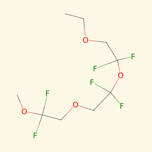 CCOCC(F)(F)OC(F)(F)COCC(F)(F)OC